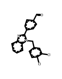 O=Cc1ccc(-c2nc3ccccc3n2Cc2ccc(Cl)c(Cl)c2)cc1